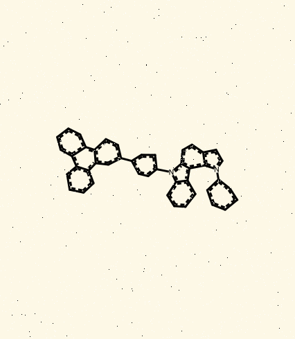 c1ccc(-n2ccc3ccc4c(c5ccccc5n4-c4ccc(-c5ccc6c7ccccc7c7ccccc7c6c5)cc4)c32)cc1